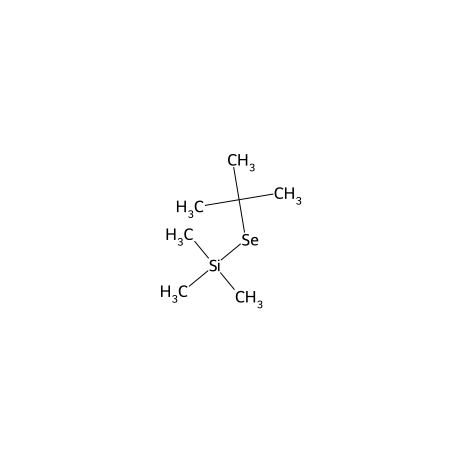 CC(C)(C)[Se][Si](C)(C)C